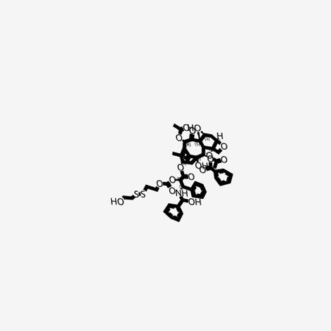 CC(=O)O[C@H]1C(=O)[C@@]2(C)C([C@H](OC(=O)c3ccccc3)[C@]3(O)C[C@H](OC(=O)[C@H](OC(=O)OCCSSCCO)[C@@H](NC(O)c4ccccc4)c4ccccc4)C(C)=C1C3(C)C)[C@]1(OC(C)=O)CO[C@@H]1C[C@@H]2O